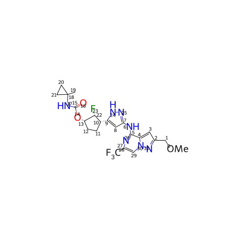 COCc1cc2c(Nc3cc([C@@H]4CC[C@H](OC(=O)NC5(C)CC5)[C@@H]4F)[nH]n3)nc(C(F)(F)F)cn2n1